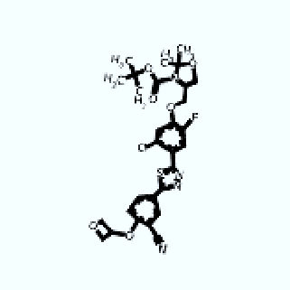 CC(C)(C)OC(=O)N1C(COc2cc(Cl)c(-c3nnc(-c4ccc(OC5COC5)c(C#N)c4)s3)cc2F)COC1(C)C